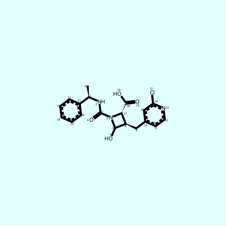 C[C@@H](NC(=O)N1C(O)[C@H](Cc2ccnc(Cl)c2)[C@H]1C(=O)O)c1ccccc1